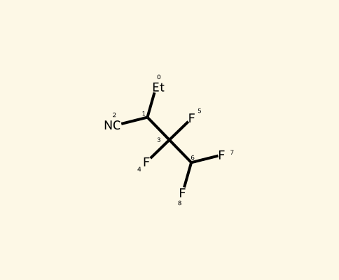 CCC(C#N)C(F)(F)[C](F)F